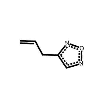 C=CCc1cnon1